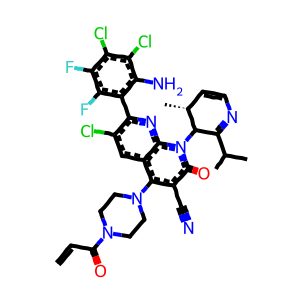 C=CC(=O)N1CCN(c2c(C#N)c(=O)n(C3C(C(C)C)=NC=C[C@H]3C)c3nc(-c4c(N)c(Cl)c(Cl)c(F)c4F)c(Cl)cc23)CC1